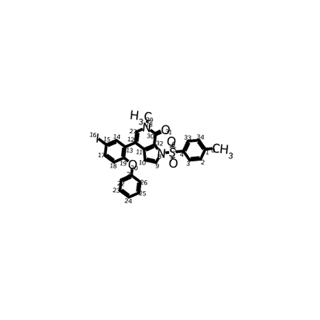 Cc1ccc(S(=O)(=O)n2ccc3c(-c4cc(I)ccc4Oc4ccccc4)cn(C)c(=O)c32)cc1